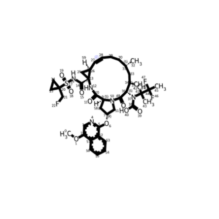 COc1cnc(O[C@@H]2C[C@H]3C(=O)N[C@]4(C(=O)NS(=O)(=O)C5(CF)CC5)C[C@H]4/C=C\CC[C@H](C)C[C@@H](C)[C@H](N(C(=O)O)C(C)(C)C(C)(F)F)C(=O)N3C2)c2ccccc12